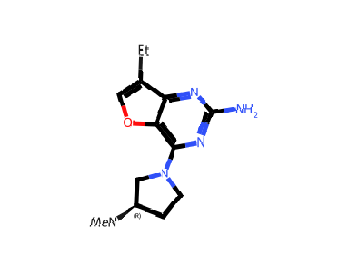 CCc1coc2c(N3CC[C@@H](NC)C3)nc(N)nc12